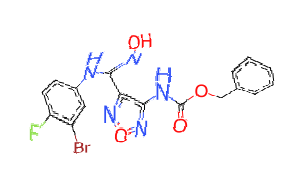 O=C(Nc1nonc1/C(=N/O)Nc1ccc(F)c(Br)c1)OCc1ccccc1